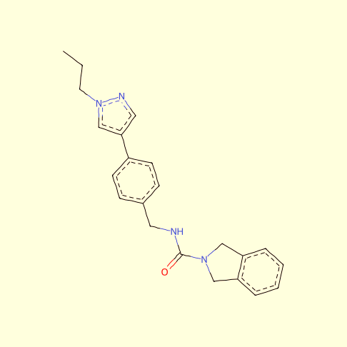 CCCn1cc(-c2ccc(CNC(=O)N3Cc4ccccc4C3)cc2)cn1